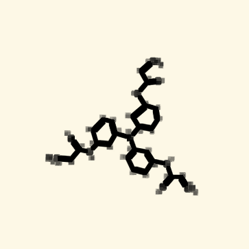 C=CC(=O)Oc1cccc(N(c2cccc(OC(=O)C=C)c2)c2cccc(OC(=O)C=C)c2)c1